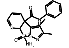 Cc1noc(C2(C(=O)Nc3ccccc3)C=CC=NC2S(N)(=O)=O)c1C